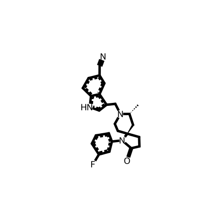 C[C@@H]1C[C@]2(CCC(=O)N2c2cccc(F)c2)CCN1Cc1c[nH]c2ccc(C#N)cc12